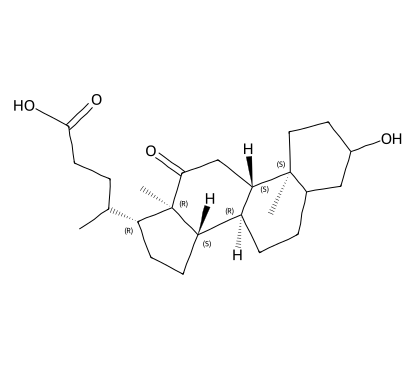 CC(CCC(=O)O)[C@H]1CC[C@H]2[C@@H]3CCC4CC(O)CC[C@]4(C)[C@H]3CC(=O)[C@]12C